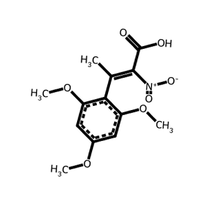 COc1cc(OC)c(/C(C)=C(/C(=O)O)[N+](=O)[O-])c(OC)c1